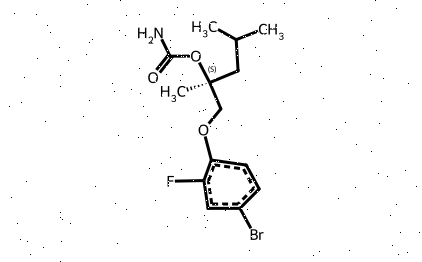 CC(C)C[C@@](C)(COc1ccc(Br)cc1F)OC(N)=O